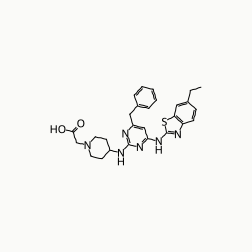 CCc1ccc2nc(Nc3cc(Cc4ccccc4)nc(NC4CCN(CC(=O)O)CC4)n3)sc2c1